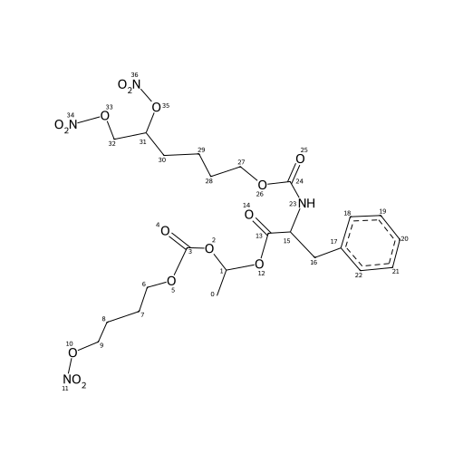 CC(OC(=O)OCCCCO[N+](=O)[O-])OC(=O)C(Cc1ccccc1)NC(=O)OCCCCC(CO[N+](=O)[O-])O[N+](=O)[O-]